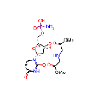 COC(=O)CNCC(=O)OC.NP(=O)(O)OC[C@H]1O[C@@H](n2ccc(=O)[nH]c2=O)C[C@@H]1O